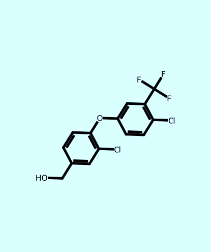 OCc1ccc(Oc2ccc(Cl)c(C(F)(F)F)c2)c(Cl)c1